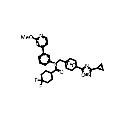 COc1nccc(-c2cccc(N(CC34CCC(c5nc(C6CC6)no5)(CC3)CC4)C(=O)C3CCC(F)(F)CC3)c2)n1